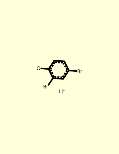 [Li+].[O-]c1ccc(Br)cc1Br